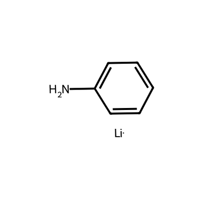 Nc1ccccc1.[Li]